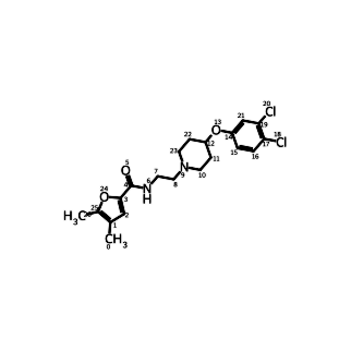 Cc1cc(C(=O)NCCN2CCC(Oc3ccc(Cl)c(Cl)c3)CC2)oc1C